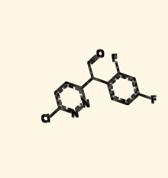 O=CC(c1ccc(Cl)nn1)c1ccc(F)cc1F